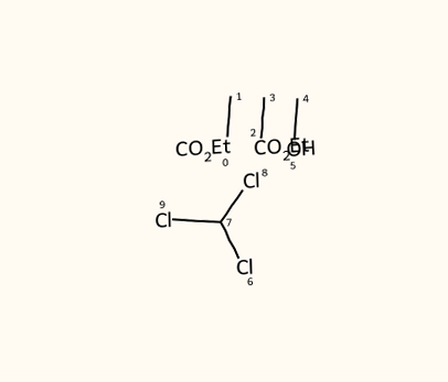 CCOC(C)=O.CCOC(C)=O.CO.ClC(Cl)Cl